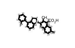 Cc1c(N2CCc3c(-c4ccccc4F)cccc32)nc2ccc(F)cc2c1C(=O)O